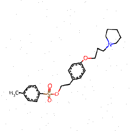 Cc1ccc(S(=O)(=O)OCCc2ccc(OCCCN3CCCCC3)cc2)cc1